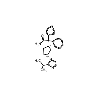 CC(C)c1nccn1[C@@H]1CC[C@H](C(C(N)=O)(c2ccccc2)c2ccccc2)C1